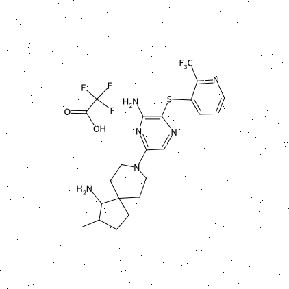 CC1CCC2(CCN(c3cnc(Sc4cccnc4C(F)(F)F)c(N)n3)CC2)C1N.O=C(O)C(F)(F)F